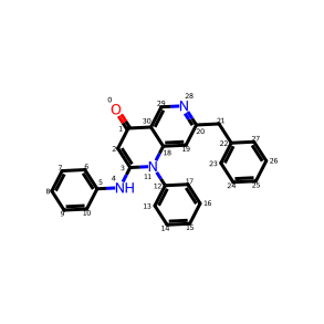 O=c1cc(Nc2ccccc2)n(-c2ccccc2)c2cc(Cc3ccccc3)ncc12